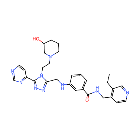 CCc1cnccc1CNC(=O)c1cccc(NCc2nnc(-c3ccncn3)n2CCN2CCCC(O)C2)c1